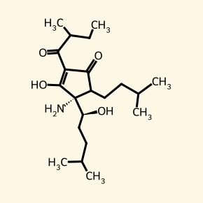 CCC(C)C(=O)C1=C(O)[C@](N)([C@@H](O)CCC(C)C)C(CCC(C)C)C1=O